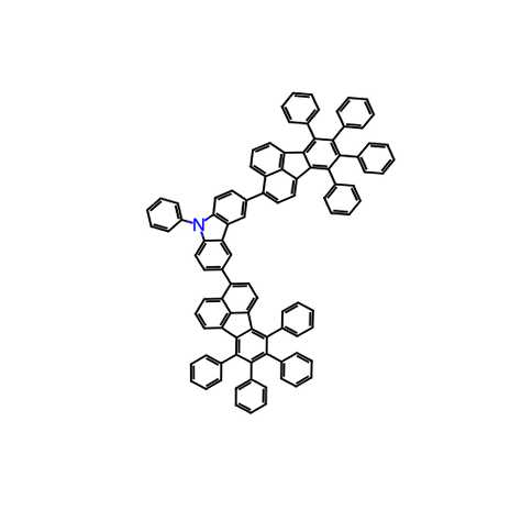 c1ccc(-c2c(-c3ccccc3)c(-c3ccccc3)c3c(c2-c2ccccc2)-c2cccc4c(-c5ccc6c(c5)c5cc(-c7ccc8c9c(cccc79)-c7c(-c9ccccc9)c(-c9ccccc9)c(-c9ccccc9)c(-c9ccccc9)c7-8)ccc5n6-c5ccccc5)ccc-3c24)cc1